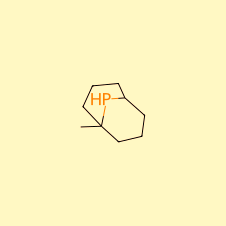 CC12CCCC(CCC1)P2